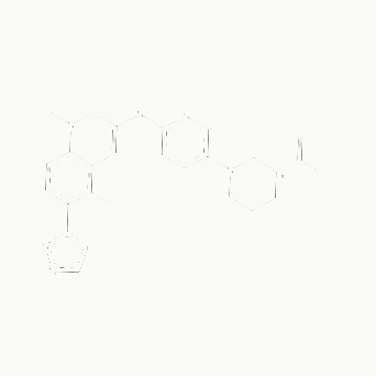 CN1OC(Nc2ccc(N3CCC[C@@H](C(=O)O)C3)cn2)=Cc2c1ccc(-c1cc[nH]n1)c2F